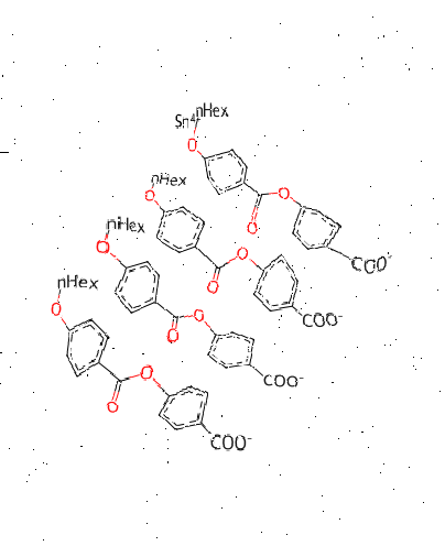 CCCCCCOc1ccc(C(=O)Oc2ccc(C(=O)[O-])cc2)cc1.CCCCCCOc1ccc(C(=O)Oc2ccc(C(=O)[O-])cc2)cc1.CCCCCCOc1ccc(C(=O)Oc2ccc(C(=O)[O-])cc2)cc1.CCCCCCOc1ccc(C(=O)Oc2ccc(C(=O)[O-])cc2)cc1.[Sn+4]